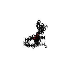 CC[C@H](C)[C@@H]1NC(=O)CNC(=O)[C@@H]2Cc3c([nH]c4cc(OCc5ccc(NC(=O)[C@H](C)NC(=O)[C@@H](NC(=O)CCN6C(=O)C=CC6=O)C(C)C)cc5)ccc34)[S@+]([O-])CC(NC(=O)CNC1=O)C(=O)N[C@@H](CC(N)=O)C(=O)N1C[C@H](O)C[C@]1(C=O)N[C@@H]([C@@H](C)[C@@H](O)CO)C(=O)N2